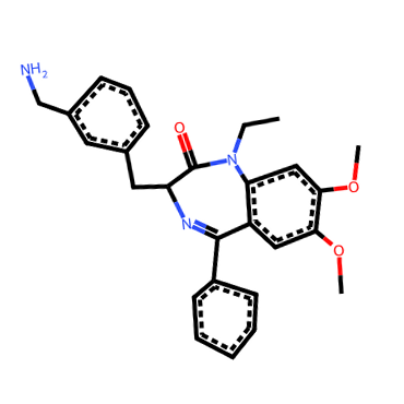 CCN1C(=O)C(Cc2cccc(CN)c2)N=C(c2ccccc2)c2cc(OC)c(OC)cc21